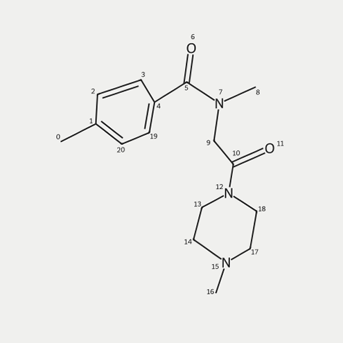 Cc1ccc(C(=O)N(C)CC(=O)N2CCN(C)CC2)cc1